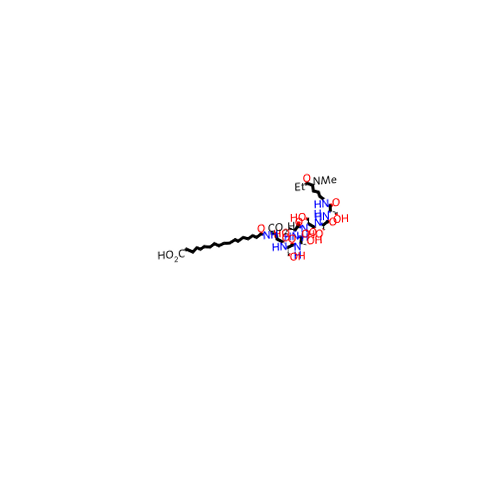 CCC(=O)[C@H](CCCCNC(=O)[C@H](CO)NC(=O)[C@H](CO)NC(=O)[C@H](CO)NC(=O)[C@H](CO)NC(=O)[C@H](CO)NC(=O)[C@H](CO)NC(=O)CC[C@H](NC(=O)CCCCCCCCCCCCCCCCC(=O)O)C(=O)O)NC